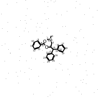 CN(C)CC(OC(=O)c1ccccc1)C(c1ccccc1)c1ccccc1